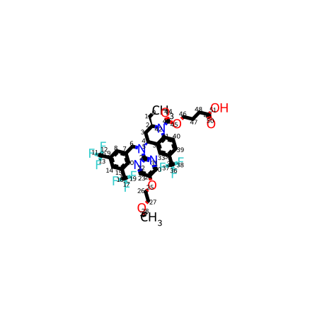 CC[C@@H]1C[C@H](N(Cc2cc(C(F)(F)F)cc(C(F)(F)F)c2)c2ncc(OCCOC)cn2)c2cc(C(F)(F)F)ccc2N1C(=O)OCCCC(=O)O